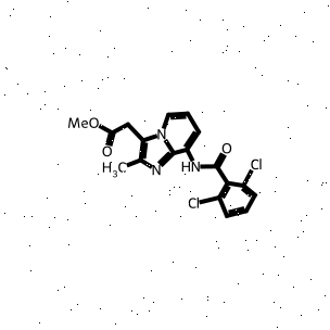 COC(=O)Cc1c(C)nc2c(NC(=O)c3c(Cl)cccc3Cl)cccn12